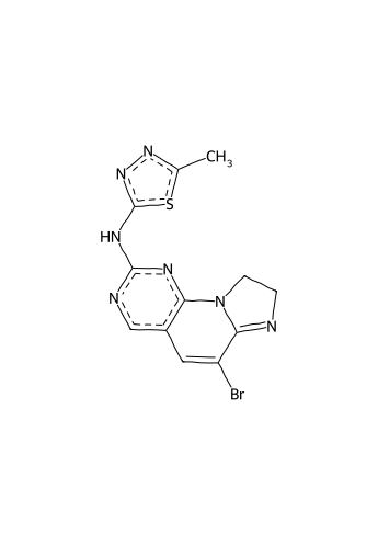 Cc1nnc(Nc2ncc3c(n2)N2CCN=C2C(Br)=C3)s1